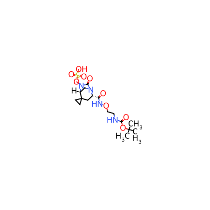 CC(C)(C)OC(=O)NCCONC(=O)[C@@H]1CC2(CC2)[C@H]2CN1C(=O)N2OS(=O)(=O)O